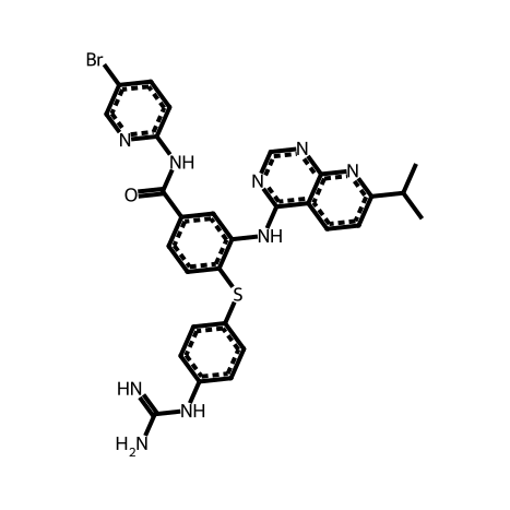 CC(C)c1ccc2c(Nc3cc(C(=O)Nc4ccc(Br)cn4)ccc3Sc3ccc(NC(=N)N)cc3)ncnc2n1